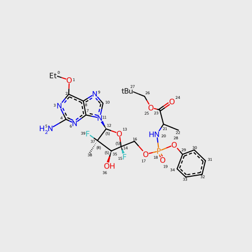 CCOc1nc(N)nc2c1ncn2[C@H]1O[C@](F)(COP(=O)(NC(C)C(=O)OCC(C)(C)C)Oc2ccccc2)[C@@H](O)[C@@]1(C)F